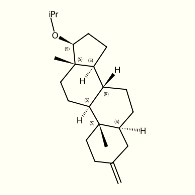 C=C1CC[C@@]2(C)[C@@H](CC[C@@H]3[C@@H]2CC[C@]2(C)[C@@H](OC(C)C)CC[C@@H]32)C1